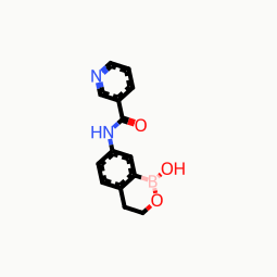 O=C(Nc1ccc2c(c1)B(O)OCC2)c1cccnc1